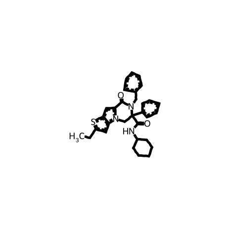 CCc1cc2c(cc3n2CC(C(=O)NC2CCCCC2)(c2ccccc2)N(Cc2ccccc2)C3=O)s1